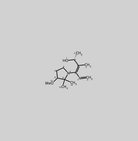 C=N/C(=C(\C)[C@@H](C)O)N1CCC(OC)C1(C)C